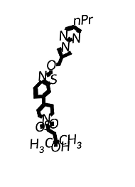 CCCc1cnc(N2CC(COc3nc4ccc(C5=CCN(S(=O)(=O)CCC(C)(C)O)CC5)cc4s3)C2)nc1